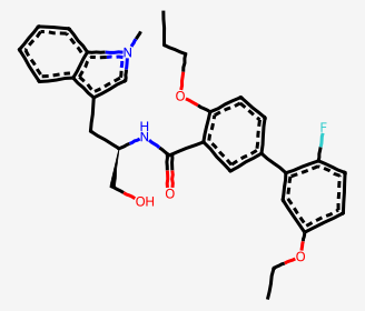 CCCOc1ccc(-c2cc(OCC)ccc2F)cc1C(=O)N[C@@H](CO)Cc1cn(C)c2ccccc12